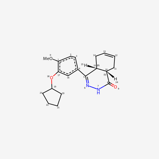 COc1ccc(C2=NNC(=O)[C@H]3CC=CC[C@@H]23)cc1OC1CCCC1